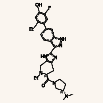 CCc1cc(O)c(F)cc1-c1ccc2c(-c3nc4c([nH]3)CN(CC)[C@H](C(=O)N3CC[C@H](N(C)C)C3)C4)n[nH]c2c1